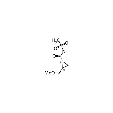 COC[C@@H]1C[C@H]1C(=O)NS(C)(=O)=O